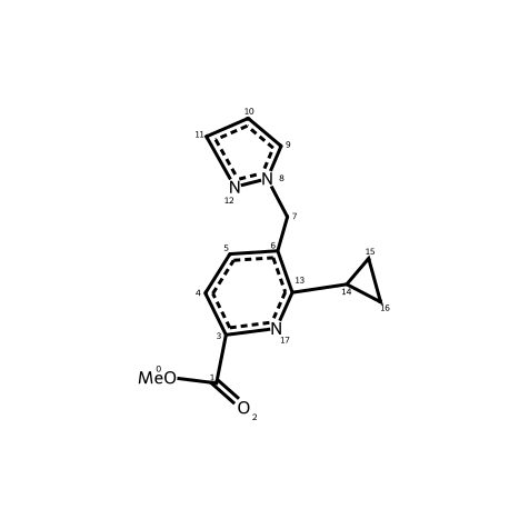 COC(=O)c1ccc(Cn2cccn2)c(C2CC2)n1